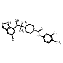 Cc1ccc(NC(=O)N2CCC(C(C)(C)C(O)c3cc(Cl)cc4cn[nH]c34)CC2)cc1Cl